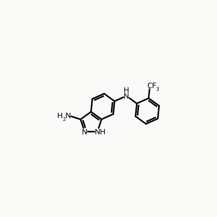 Nc1n[nH]c2cc(Nc3ccccc3C(F)(F)F)ccc12